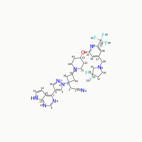 N#CCC1(n2cc(-c3ncnc4[nH]ccc34)cn2)CC(N2CCC(Oc3cc(CN4CCC(F)(F)C4)cc(C(F)(F)F)n3)CC2)C1